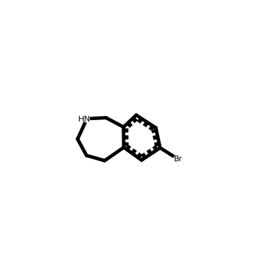 Brc1ccc2c(c1)CCCNC2